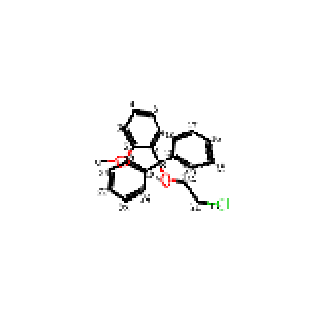 COc1ccccc1C(OCCCl)(c1ccccc1)c1ccccc1